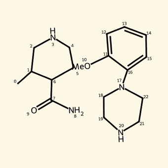 CC1CNCCC1C(N)=O.COc1ccccc1N1CCNCC1